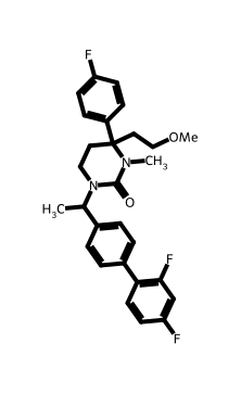 COCCC1(c2ccc(F)cc2)CCN(C(C)c2ccc(-c3ccc(F)cc3F)cc2)C(=O)N1C